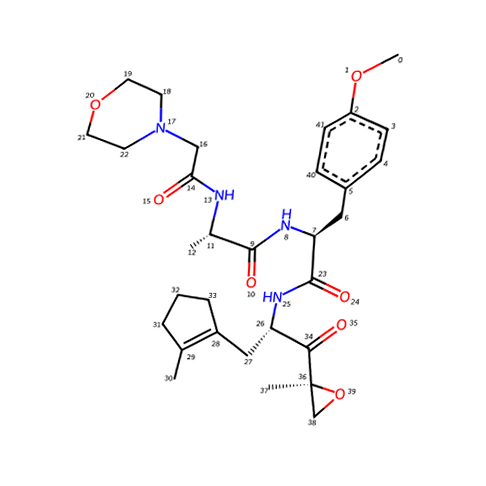 COc1ccc(C[C@H](NC(=O)[C@H](C)NC(=O)CN2CCOCC2)C(=O)N[C@@H](CC2=C(C)CCC2)C(=O)[C@]2(C)CO2)cc1